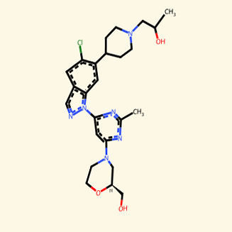 Cc1nc(N2CCO[C@H](CO)C2)cc(-n2ncc3cc(Cl)c(C4CCN(CC(C)O)CC4)cc32)n1